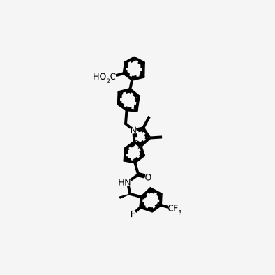 Cc1c(C)n(Cc2ccc(-c3ccccc3C(=O)O)cc2)c2ccc(C(=O)N[C@H](C)c3ccc(C(F)(F)F)cc3F)cc12